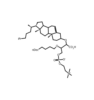 CCCCCCCCCCCCCCOC(COP(=O)([O-])OCC[N+](C)(C)C)C(OC1CC[C@@]2(C)C(=CCC3C2CC[C@@]2(C)C3CC[C@@H]2[C@H](C)CCCC(C)C)C1)C(=O)O